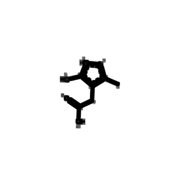 Cc1n[nH]c(O)c1CC(=O)O